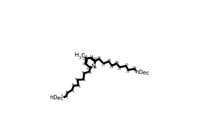 CCCCCCCCCCCCCCCCCCCc1cc(C)cc(CCCCCCCCCCCCCCCCCCC)n1